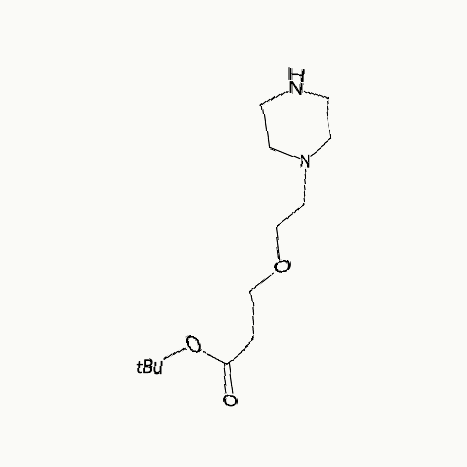 CC(C)(C)OC(=O)CCOCCN1CCNCC1